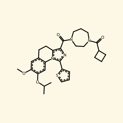 COc1cc2c(cc1OC(C)C)-n1c(-c3cccs3)nc(C(=O)N3CCCN(C(=O)C4CCC4)CC3)c1CC2